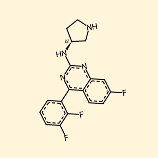 Fc1ccc2c(-c3cccc(F)c3F)nc(N[C@H]3CCNC3)nc2c1